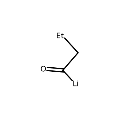 [Li][C](=O)CCC